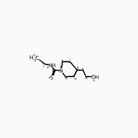 CCNC(=S)N1CCC(CCO)CC1